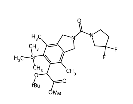 COC(=O)C(OC(C)(C)C)c1c(C)c2c(c(C)c1[Si](C)(C)C)CN(C(=O)N1CCC(F)(F)C1)C2